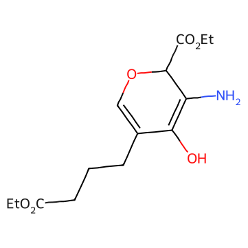 CCOC(=O)CCCC1=COC(C(=O)OCC)C(N)=C1O